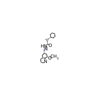 COc1cc(/C=N/NC(=O)C2CC2c2ccccc2)cc2cccnc12